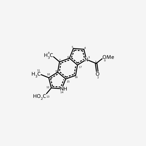 COC(=O)n1ccc2c(C)c3c(C)c(C(=O)O)[nH]c3cc21